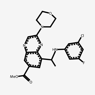 COC(=O)c1cc(C(C)Nc2cc(F)cc(Cl)c2)c2nc(N3CCOCC3)cnc2c1